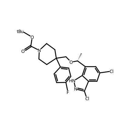 C[C@@H](OCC1(c2ccc(F)cc2)CCN(C(=O)OC(C)(C)C)CC1)c1cc(Cl)cc2c(Cl)n[nH]c12